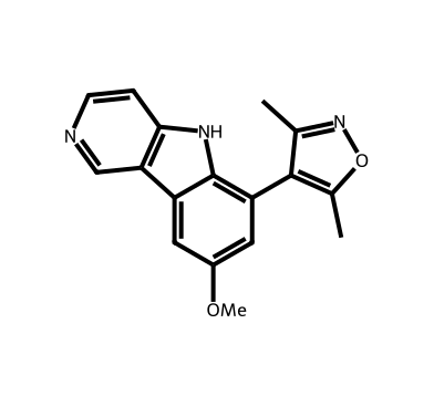 COc1cc(-c2c(C)noc2C)c2[nH]c3ccncc3c2c1